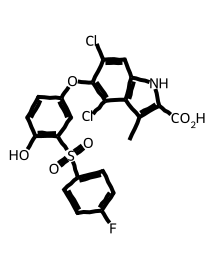 Cc1c(C(=O)O)[nH]c2cc(Cl)c(Oc3ccc(O)c(S(=O)(=O)c4ccc(F)cc4)c3)c(Cl)c12